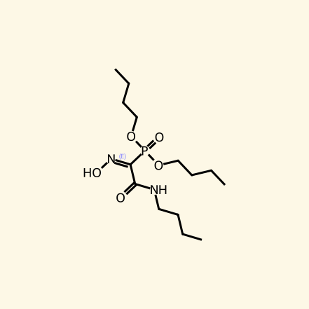 CCCCNC(=O)/C(=N\O)P(=O)(OCCCC)OCCCC